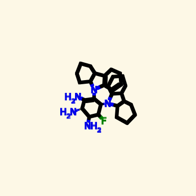 NC1=C(N2C3=C(CCC=C3)C3CCCCC32)[C@H](N2C3CCCCC3C3CCCCC32)C(F)C(N)[C@@H]1N